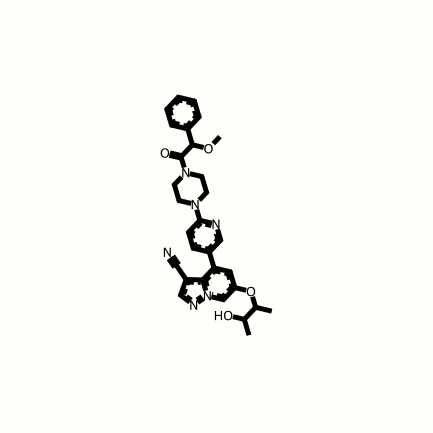 COC(C(=O)N1CCN(c2ccc(-c3cc(OC(C)C(C)O)cn4ncc(C#N)c34)cn2)CC1)c1ccccc1